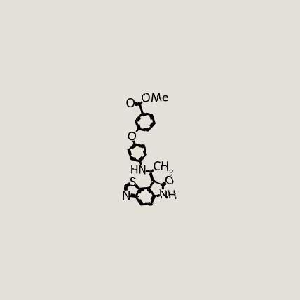 COC(=O)c1cccc(Oc2ccc(NC(C)=C3C(=O)Nc4ccc5ncsc5c43)cc2)c1